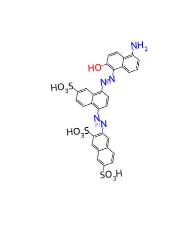 Nc1cccc2c(/N=N/c3ccc(/N=N/c4cc5ccc(S(=O)(=O)O)cc5cc4S(=O)(=O)O)c4ccc(S(=O)(=O)O)cc34)c(O)ccc12